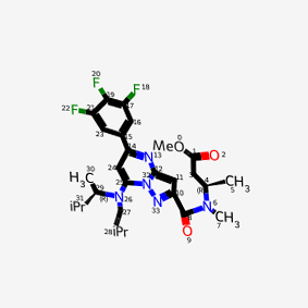 COC(=O)C[C@@H](C)N(C)C(=O)c1cc2nc(-c3cc(F)c(F)c(F)c3)cc(N(CC(C)C)[C@H](C)C(C)C)n2n1